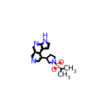 CC(C)S(=O)(=O)N1CCC(c2cncc3cnc4[nH]ccc4c23)C1